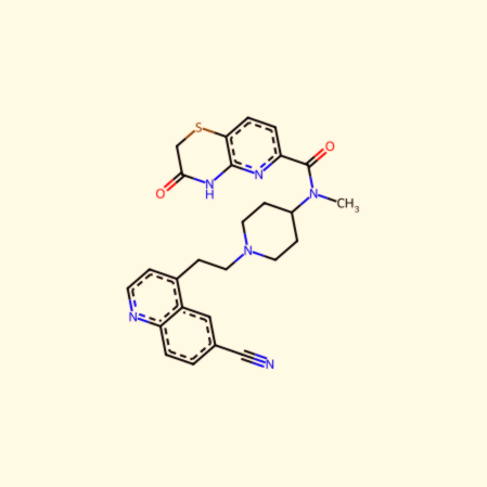 CN(C(=O)c1ccc2c(n1)NC(=O)CS2)C1CCN(CCc2ccnc3ccc(C#N)cc23)CC1